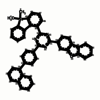 C[Si]1(C)c2ccccc2-c2c(-c3nc(-c4ccc(-c5cccc6ccccc56)cc4)nc(-c4ccc5c(c4)oc4ccccc45)n3)cccc21